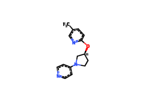 FC(F)(F)c1ccc(O[C@H]2CCN(c3ccncc3)C2)nc1